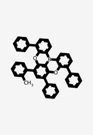 Cc1ccccc1-c1cc(-c2ccccc2)c2c3c1Oc1c(cccc1-c1ccccc1)B3c1cccc(-c3ccccc3)c1O2